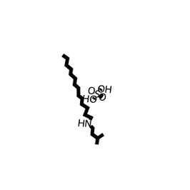 CCCCCCCCCCCCCCNCCC(C)C.O=S(=O)(O)O